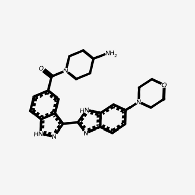 NC1CCN(C(=O)c2ccc3[nH]nc(-c4nc5ccc(N6CCOCC6)cc5[nH]4)c3c2)CC1